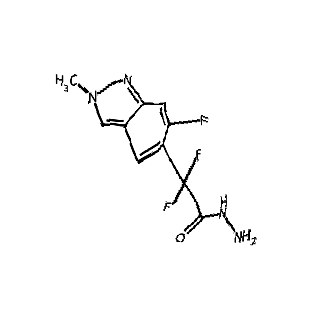 Cn1cc2cc(C(F)(F)C(=O)NN)c(F)cc2n1